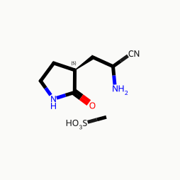 CS(=O)(=O)O.N#CC(N)C[C@@H]1CCNC1=O